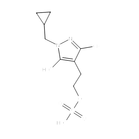 Cc1nn(CC2CC2)c(C)c1CCOS(C)(=O)=O